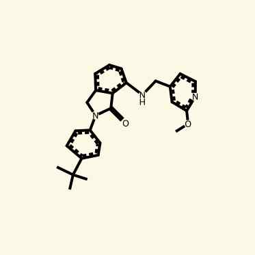 COc1cc(CNc2cccc3c2C(=O)N(c2ccc(C(C)(C)C)cc2)C3)ccn1